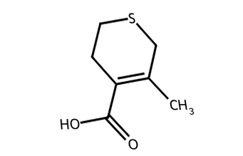 CC1=C(C(=O)O)CCSC1